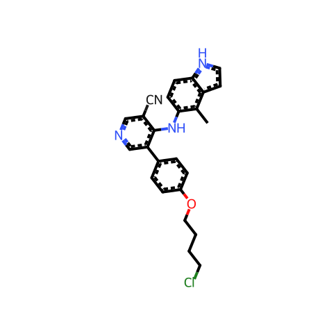 Cc1c(Nc2c(C#N)cncc2-c2ccc(OCCCCCl)cc2)ccc2[nH]ccc12